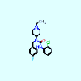 CCN1CCC(N(Cc2ccc(F)cc2)C(=O)Nc2ccccc2Cl)CC1